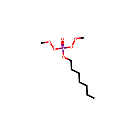 CCCCCCCOP(=O)(OOC)OOC